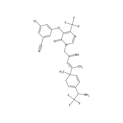 C/C(=C\C(=N)Cn1cnc(C(F)(F)F)c(Oc2cc(Cl)cc(C#N)c2)c1=O)C1(C)C=CC(C(N)C(F)(F)F)=CC1